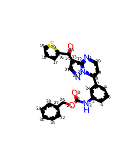 O=C(Nc1cccc(-c2ccnc3c(C(=O)c4cccs4)cnn23)c1)OCc1ccccc1